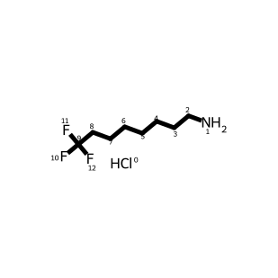 Cl.NCCCCCCCC(F)(F)F